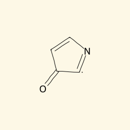 O=C1[C]=NC=C1